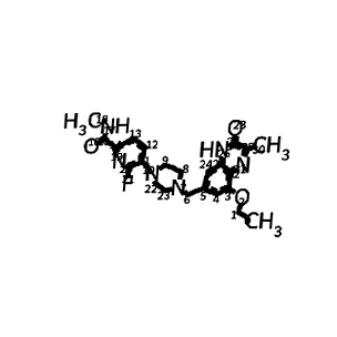 CCOc1cc(CN2CCN(c3ccc(C(=O)NC)nc3F)CC2)cc2[nH]c(=O)c(C)nc12